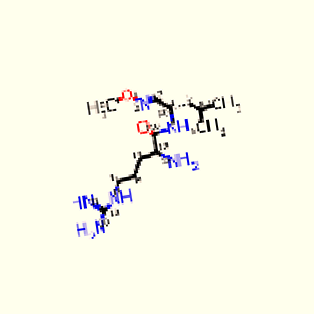 CO/N=C/[C@H](CC(C)C)NC(=O)C(N)CCCNC(=N)N